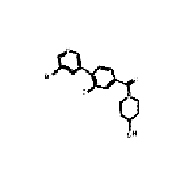 O=C(c1ccc(-c2cncc(Br)c2)c(Cl)c1)N1CCC(O)CC1